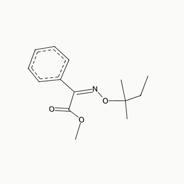 CCC(C)(C)ON=C(C(=O)OC)c1ccccc1